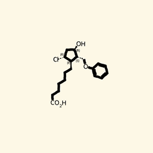 O=C(O)CCCCCC[C@@H]1[C@@H](COc2ccccc2)[C@H](O)C[C@H]1Cl